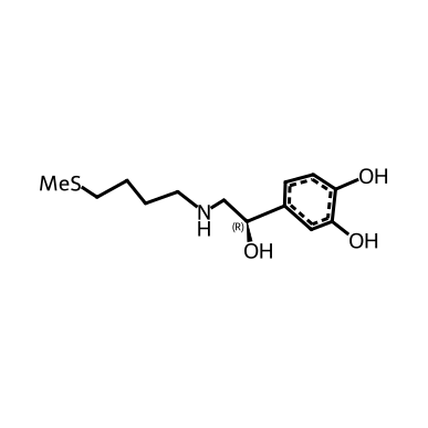 CSCCCCNC[C@H](O)c1ccc(O)c(O)c1